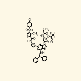 CCC(=O)N[C@H]1C[C@@H](n2cnc3c(NCC(c4ccccc4)c4ccccc4)nc(N4CC[C@@H](NC(=O)c5scc(S(=O)(=O)c6ccc(Cl)cc6)c5C)C4)nc32)[C@H](O)[C@@H]1OC(=O)C(F)(F)F